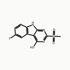 CS(=O)(=O)c1nc(O)c2c(n1)[nH]c1[c]cc(F)cc12